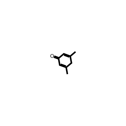 CC1=CC(=O)C=C(C)C1